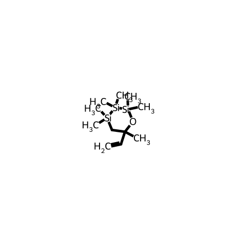 C=CC1(C)C[Si](C)(C)[Si](C)(C)[Si](C)(C)O1